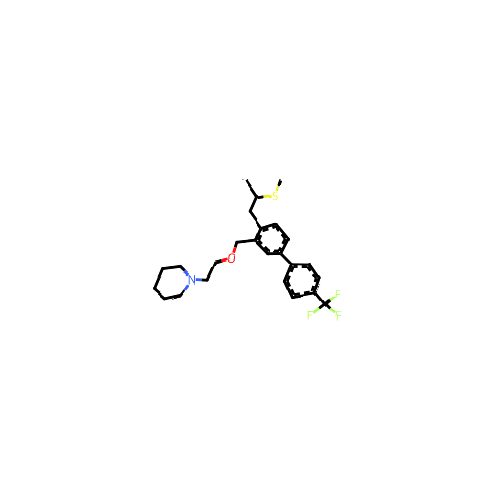 [CH2]C(Cc1ccc(-c2ccc(C(F)(F)F)cc2)cc1COCCN1CCCCC1)SC